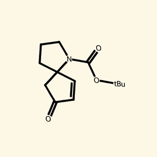 CC(C)(C)OC(=O)N1CCCC12C=CC(=O)C2